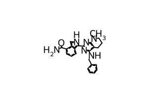 CN1CCCc2c(NCc3ccccc3)nc(-c3[nH]cc4c(C(N)=O)cccc34)nc21